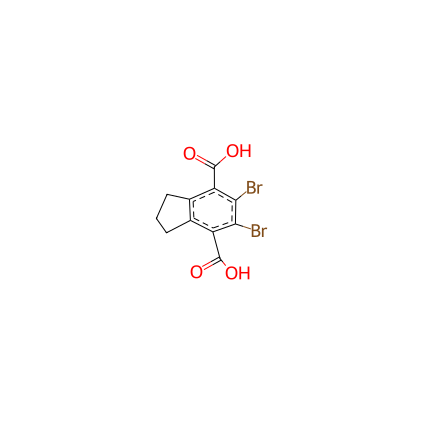 O=C(O)c1c(Br)c(Br)c(C(=O)O)c2c1CCC2